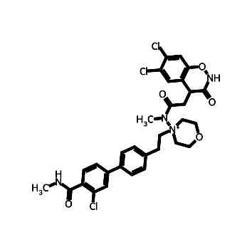 CNC(=O)c1ccc(-c2ccc(CC[N+]3(N(C)C(=O)CC4C(=O)NOc5cc(Cl)c(Cl)cc54)CCOCC3)cc2)cc1Cl